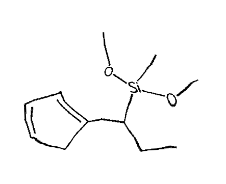 CCC(C1=CC=CC1)[Si](C)(OC)OC